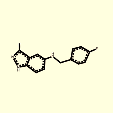 Cc1n[nH]c2ccc(NCc3ccc(F)cc3)cc12